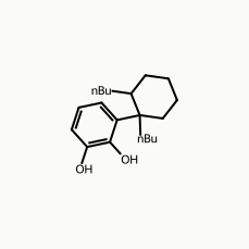 CCCCC1CCCCC1(CCCC)c1cccc(O)c1O